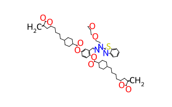 C=C1CC(CCCCC2CCC(C(=O)Oc3ccc(OC(=O)C4CCC(CCCCC5CC(=C)C(=O)O5)CC4)c(/C=N/N(CCOCC4CO4)c4nc5ccccc5s4)c3)CC2)OC1=O